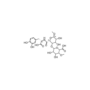 COC1C(C(=O)O)OC(OC2C(O)C(O)[C@H](OC)O[C@H]2C(=O)N[C@@H](Cc2ccc(O)c(O)c2)C(=O)O)C(O)C1O